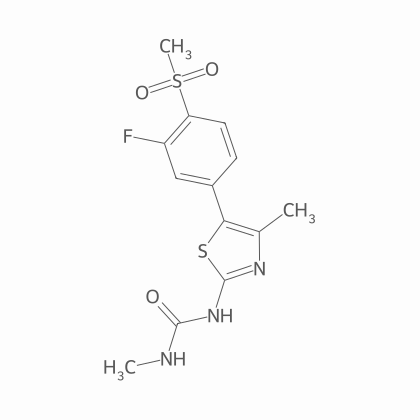 CNC(=O)Nc1nc(C)c(-c2ccc(S(C)(=O)=O)c(F)c2)s1